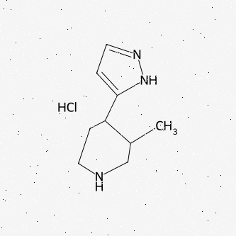 CC1CNCCC1c1ccn[nH]1.Cl